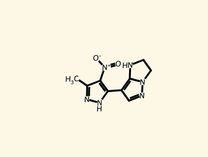 Cc1n[nH]c(-c2cnn3c2NCC3)c1[N+](=O)[O-]